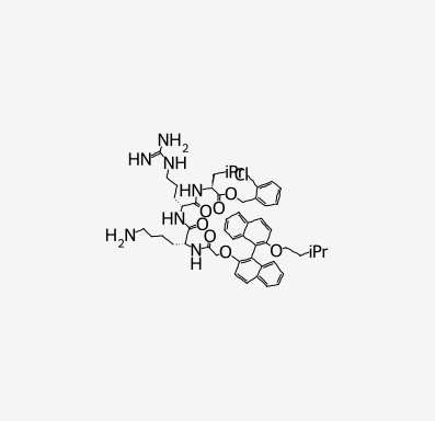 CC(C)CCOc1ccc2ccccc2c1-c1c(OCC(=O)N[C@H](CCCCN)C(=O)N[C@H](CCCNC(=N)N)C(=O)N[C@@H](CC(C)C)C(=O)OCc2ccccc2Cl)ccc2ccccc12